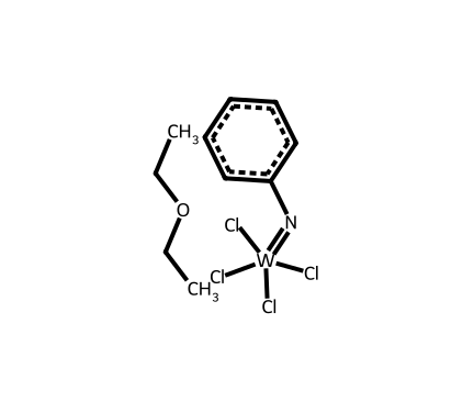 CCOCC.[Cl][W]([Cl])([Cl])([Cl])=[N]c1ccccc1